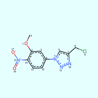 COc1cc(-n2cc(CCl)nn2)ccc1[N+](=O)[O-]